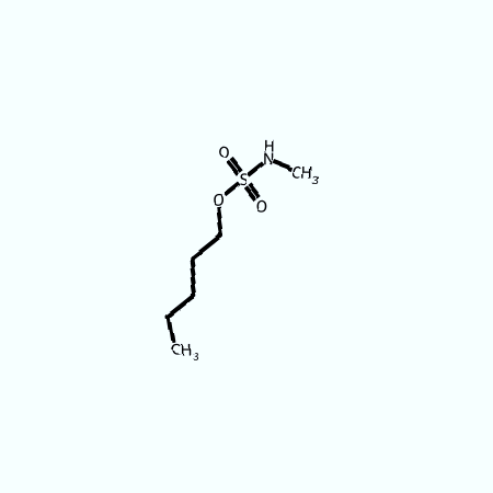 CCCCCOS(=O)(=O)NC